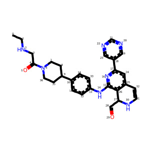 CCNCC(=O)N1CCC(c2ccc(Nc3nc(-c4cncnc4)cc4c3C(C=O)NC=C4)cc2)CC1